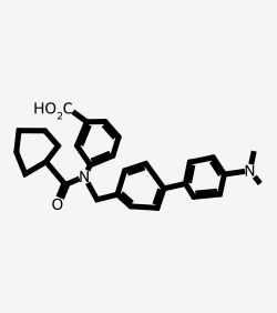 CN(C)c1ccc(-c2ccc(CN(C(=O)C3CCCCC3)c3cccc(C(=O)O)c3)cc2)cc1